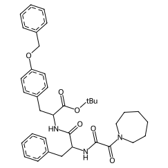 CC(C)(C)OC(=O)C(Cc1ccc(OCc2ccccc2)cc1)NC(=O)C(Cc1ccccc1)NC(=O)C(=O)N1CCCCCC1